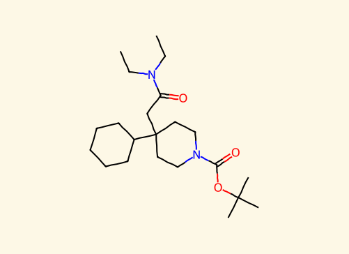 CCN(CC)C(=O)CC1(C2CCCCC2)CCN(C(=O)OC(C)(C)C)CC1